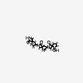 O=C1NCC12CC(N1CC3(CC(N4CC5(CCCN5O)C4=O)C=N3)C1=O)C=N2